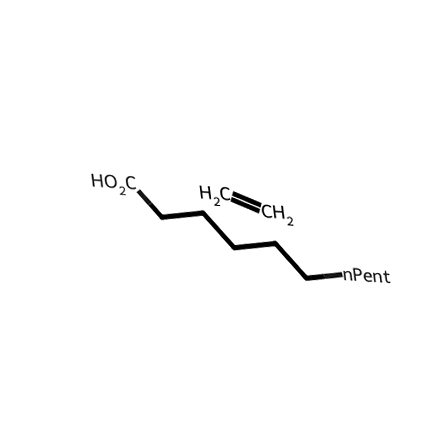 C=C.CCCCCCCCCCC(=O)O